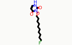 O=c1cc[nH]c(=O)n1OCCCCCCCCCCF